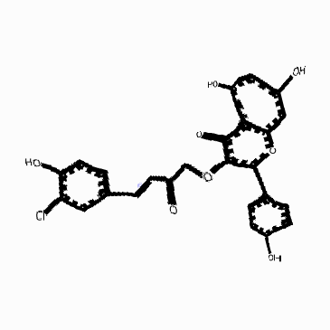 O=C(/C=C/c1ccc(O)c(Cl)c1)COc1c(-c2ccc(O)cc2)oc2cc(O)cc(O)c2c1=O